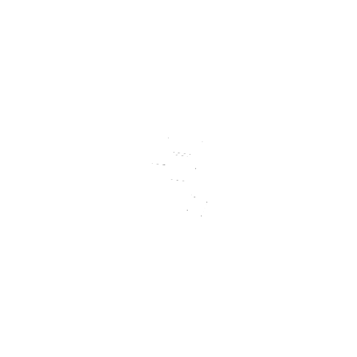 O=Cc1c(O)cc(N2CC(F)C2)cc1F